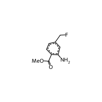 COC(=O)c1ccc(CF)cc1N